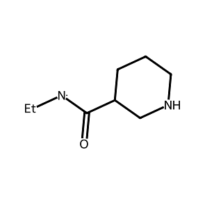 CC[N]C(=O)C1CCCNC1